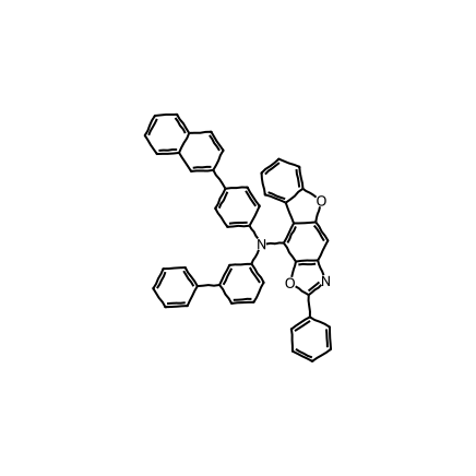 c1ccc(-c2cccc(N(c3ccc(-c4ccc5ccccc5c4)cc3)c3c4oc(-c5ccccc5)nc4cc4oc5ccccc5c34)c2)cc1